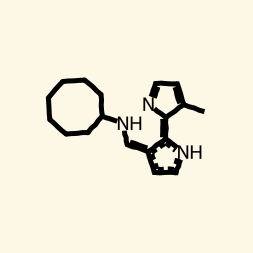 CC1=CC=NC1=c1[nH]ccc1=CNC1CCCCCCC1